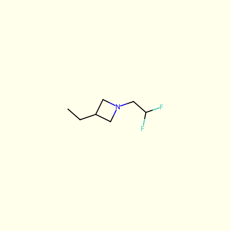 CCC1CN(CC(F)F)C1